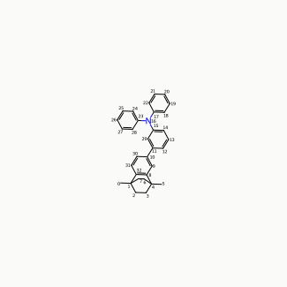 CC12CCC(C)(CC1)c1cc(-c3cccc(N(c4ccccc4)c4ccccc4)c3)ccc12